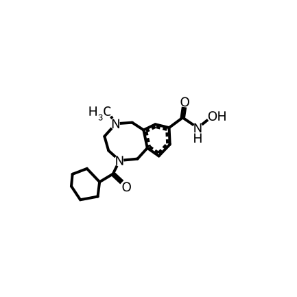 CN1CCN(C(=O)C2CCCCC2)Cc2ccc(C(=O)NO)cc2C1